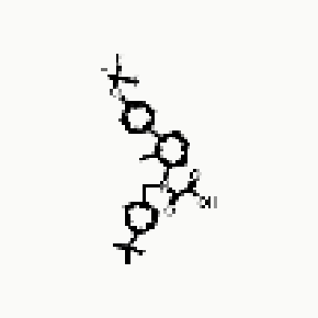 Cc1c(-c2ccc(OC(F)(F)F)cc2)cccc1N(Cc1ccc(C(C)(C)C)cc1)C(=O)C(=O)O